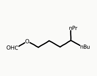 CCCCC(CCC)CCCOC=O